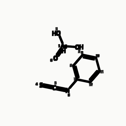 O=[AsH](O)O.S=C=Nc1ccccc1